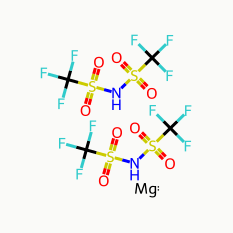 O=S(=O)(NS(=O)(=O)C(F)(F)F)C(F)(F)F.O=S(=O)(NS(=O)(=O)C(F)(F)F)C(F)(F)F.[Mg]